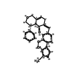 COc1cc(C=C2CC=C3COC[C@@H](c4ccccc4)N3C2=O)ccc1-n1cnc(C)c1